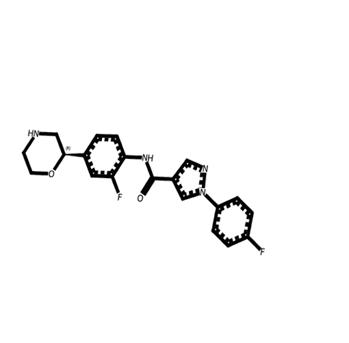 O=C(Nc1ccc([C@@H]2CNCCO2)cc1F)c1cnn(-c2ccc(F)cc2)c1